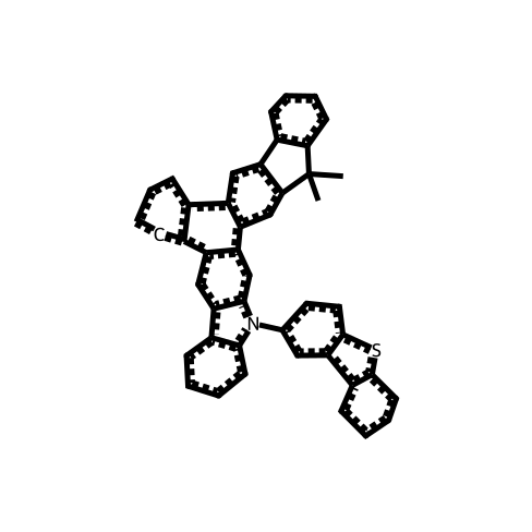 CC1(C)c2ccccc2-c2cc3c4ccccc4c4cc5c6ccccc6n(-c6ccc7sc8ccccc8c7c6)c5cc4c3cc21